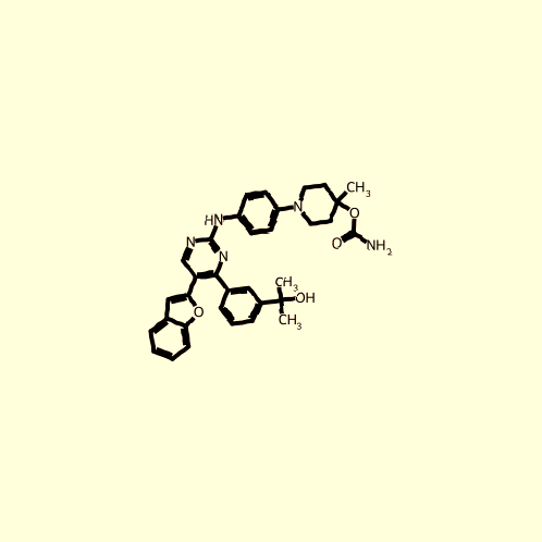 CC1(OC(N)=O)CCN(c2ccc(Nc3ncc(-c4cc5ccccc5o4)c(-c4cccc(C(C)(C)O)c4)n3)cc2)CC1